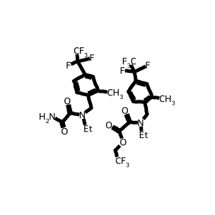 CCN(Cc1ccc(C(F)(F)C(F)(F)F)cc1C)C(=O)C(=O)OCC(F)(F)F.CCN(Cc1ccc(C(F)(F)C(F)(F)F)cc1C)C(=O)C(N)=O